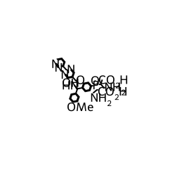 COc1ccc(C(NC(=O)c2cnc(-c3cccnn3)nc2O)c2ccc(P(=O)(C(CN)C(=O)O)C(CN)C(=O)O)cc2)cc1